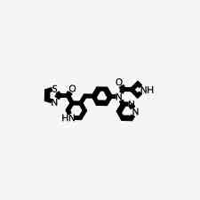 O=C(c1nccs1)C1CNCCC1Cc1ccc(N(C(=O)C2CNC2)c2cccnn2)cc1